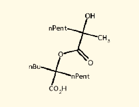 CCCCCC(C)(O)C(=O)OC(CCCC)(CCCCC)C(=O)O